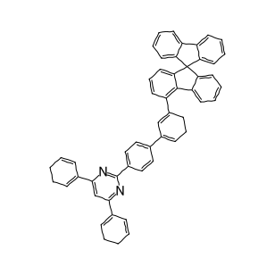 C1=CC(c2cc(C3=CCCC=C3)nc(-c3ccc(C4=CCCC(c5cccc6c5-c5ccccc5C65c6ccccc6-c6ccccc65)=C4)cc3)n2)=CCC1